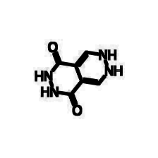 O=c1[nH][nH]c(=O)c2c1=CNNC=2